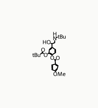 COc1ccc(C(=O)Oc2ccc(C(O)CNC(C)(C)C)cc2OC(=O)C(C)(C)C)cc1